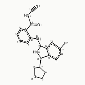 N#CNC(=O)c1ccncc1NC1NN([C@H]2CCOC2)c2ccc(F)cc21